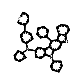 c1ccc(-c2ccc(N(c3ccccc3)c3ccc4c(c3)c3c(-c5ccccc5)c5c(cc3n4-c3ccccc3)oc3ccccc35)cc2)cc1